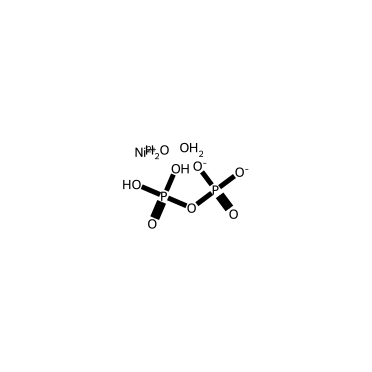 O.O.O=P([O-])([O-])OP(=O)(O)O.[Ni+2]